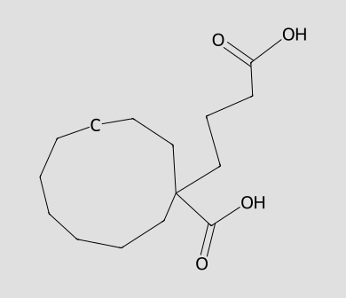 O=C(O)CCCC1(C(=O)O)CCCCCCCCC1